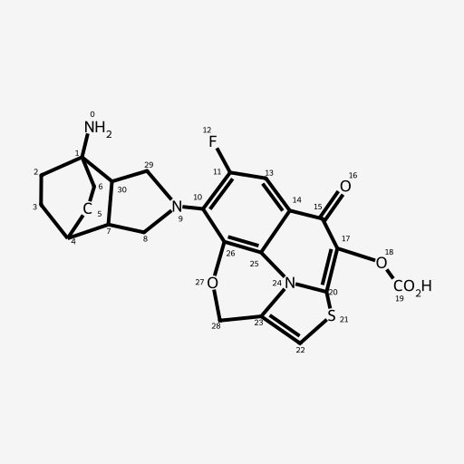 NC12CCC(CC1)C1CN(c3c(F)cc4c(=O)c(OC(=O)O)c5scc6n5c4c3OC6)CC12